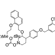 COCCOc1c(COC2CN(OC(=O)OC(C)(C)C)CCC2c2ccc(OCc3cccc(C#N)c3)cc2)ccc2ccccc12